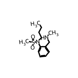 CCCCN(c1ccccc1CNC)S(C)(=O)=O